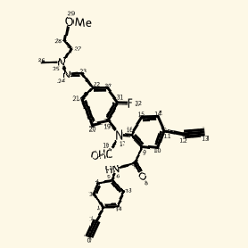 C#Cc1ccc(NC(=O)c2cc(C#C)ccc2N(C=O)c2ccc(C=NN(C)CCOC)cc2F)cc1